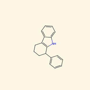 c1ccc(C2CCCc3c2[nH]c2ccccc32)cc1